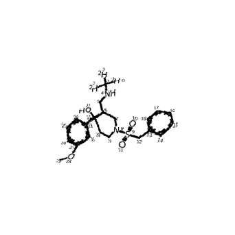 [2H]C([2H])([2H])NCC1CN(S(=O)(=O)Cc2ccccc2)CCC1(O)c1cccc(OC)c1